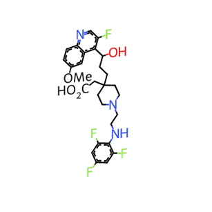 COc1ccc2ncc(F)c(C(O)CCC3(CC(=O)O)CCN(CCNc4c(F)cc(F)cc4F)CC3)c2c1